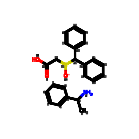 CC(N)c1ccccc1.O=C(O)C[S+]([O-])C(c1ccccc1)c1ccccc1